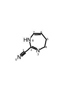 N#CC1=NCCC=CN1